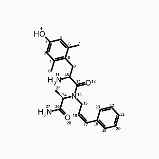 Cc1cc(O)cc(C)c1C[C@H](N)C(=O)N(C/C=C\c1ccccc1)[C@H](C)C(N)=O